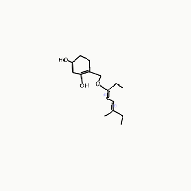 CC/C(C)=C/C=C(\CC)OCC1=C(O)CC(O)CC1